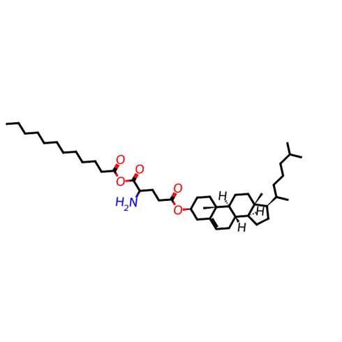 CCCCCCCCCCCC(=O)OC(=O)C(N)CCC(=O)O[C@H]1CC[C@@]2(C)C(=CC[C@H]3[C@@H]4CC[C@H](C(C)CCCC(C)C)[C@@]4(C)CC[C@@H]32)C1